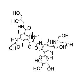 CNC(C(=O)c1c(I)c(NC(=O)CO)c(I)c(C(=O)NCC(O)CO)c1I)C(=O)N(C)c1c(I)c(C(=O)NC(CO)C(O)CO)c(I)c(C(=O)NC(CO)C(O)CO)c1I